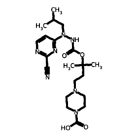 CC(C)CN(NC(=O)OC(C)(C)CCN1CCN(C(=O)O)CC1)c1ccnc(C#N)n1